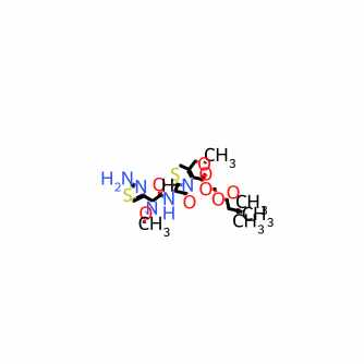 COCC1=C(C(=O)OCOC(=O)CC(C)(C)C)N2C(=O)C(NC(=O)C(=NOC)c3csc(N)n3)[C@@H]2SC1